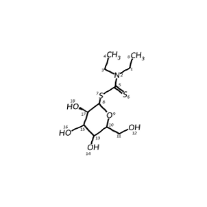 CCN(CC)C(=S)SC1OC(CO)C(O)C(O)[C@H]1O